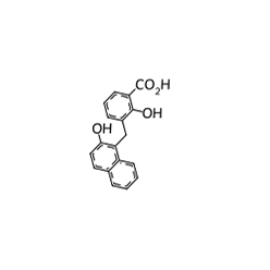 O=C(O)c1cccc(Cc2c(O)ccc3ccccc23)c1O